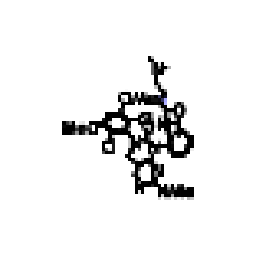 CNc1ncc2c(n1)N(c1ccccc1NC(=O)/C=C/CN(C)C)C(=O)N(c1c(Cl)c(OC)cc(OC)c1Cl)C2